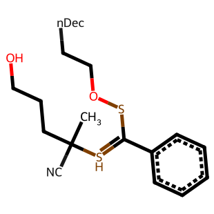 CCCCCCCCCCCCOSC(=[SH]C(C)(C#N)CCCO)c1ccccc1